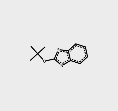 CC(C)(C)Oc1nc2ccccc2s1